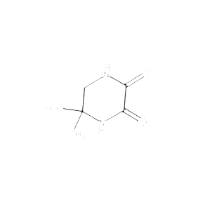 CC1(C)CNC(=O)C(=O)N1